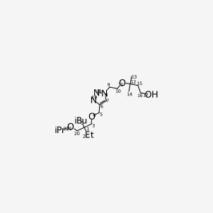 CCC(C)C(CC)(COCc1cn(CCOC(C)(C)CCO)nn1)COC(C)C